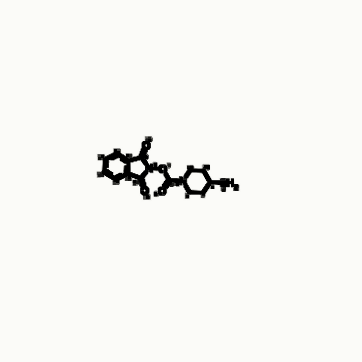 BC1CCN(C(=O)ON2C(=O)c3ccccc3C2=O)CC1